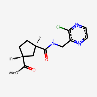 COC(=O)[C@]1(C(C)C)CC[C@@](C)(C(=O)NCc2nccnc2Cl)C1